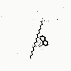 CCCCCCCCCCCCCCCCC[CH2][Na].O=S(=O)(O)c1cccc2ccccc12